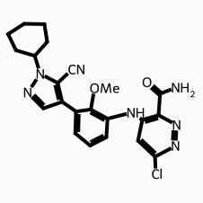 COc1c(Nc2cc(Cl)nnc2C(N)=O)cccc1-c1cnn(C2CCCCC2)c1C#N